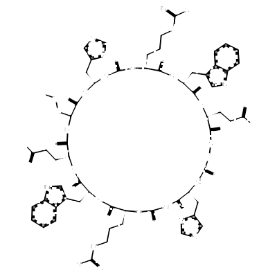 CSSC1NC(=O)[C@H](CCC(=O)O)NC(=O)[C@H](Cc2c[nH]c3ccccc23)NC(=O)[C@H](CCCNC(=N)N)NC(=O)NC(=O)[C@H](Cc2c[nH]cn2)NC(=O)CNC(=O)[C@H](CCC(=O)O)NC(=O)[C@H](Cc2c[nH]c3ccccc23)NC(=O)[C@H](CCCNC(=N)N)NC(=O)N[C@H](Cc2c[nH]cn2)NC1=O